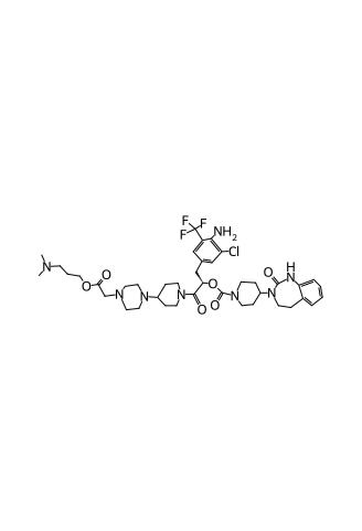 CN(C)CCCOC(=O)CN1CCN(C2CCN(C(=O)[C@@H](Cc3cc(Cl)c(N)c(C(F)(F)F)c3)OC(=O)N3CCC(N4CCc5ccccc5NC4=O)CC3)CC2)CC1